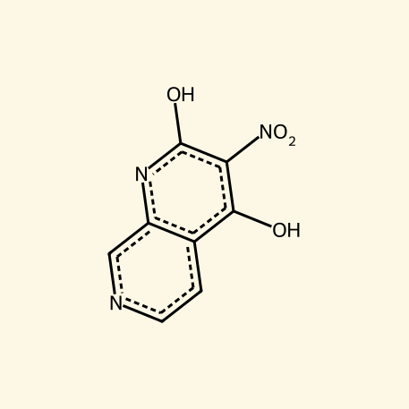 O=[N+]([O-])c1c(O)nc2cnccc2c1O